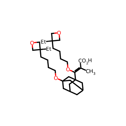 CCC1(CCCCOC(=C(C)C(=O)O)C23CC4CC(CC(OCCCCC5(CC)COC5)(C4)C2)C3)COC1